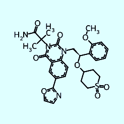 COc1ccccc1[C@H](Cn1c(=O)n(C(C)(C)C(N)=O)c(=O)c2cc(-c3ncco3)ccc21)OC1CCS(=O)(=O)CC1